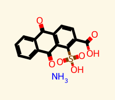 N.O=C1c2ccccc2C(=O)c2c1ccc(C(=O)O)c2S(=O)(=O)O